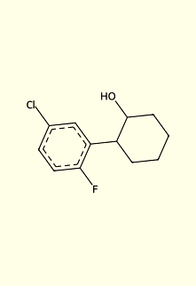 OC1CCCCC1c1cc(Cl)ccc1F